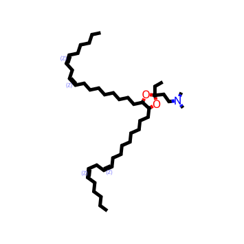 CCCCC/C=C\C/C=C\CCCCCCCCC1OC(CC)(CCN(C)C)OC1CCCCCCCC/C=C\C/C=C\CCCCC